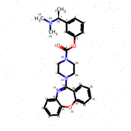 C[C@@H](c1cccc(OC(=O)N2CCN(C3=Nc4ccccc4Oc4ccccc43)CC2)c1)N(C)C